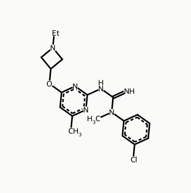 CCN1CC(Oc2cc(C)nc(NC(=N)N(C)c3cccc(Cl)c3)n2)C1